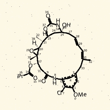 COc1cc2cc(c1Cl)NC(=O)C[C@H](OC(=O)C(C)C)[C@]1(C)O[C@H]1[C@H](C)[C@@H]1C[C@](O)(C/C=C/C=C(/C)C2)NC(=O)O1